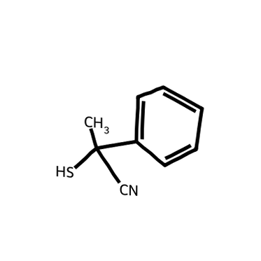 CC(S)(C#N)c1ccccc1